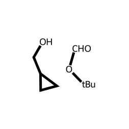 CC(C)(C)OC=O.OCC1CC1